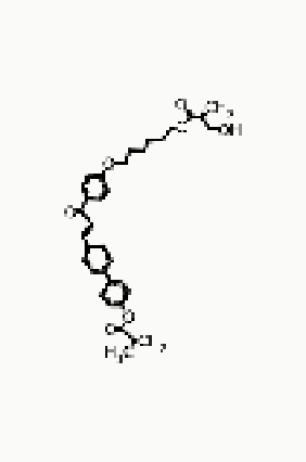 C=C(C)C(=O)Oc1ccc(-c2ccc(/C=C/C(=O)c3ccc(OCCCCCCOC(=O)C(=C)CO)cc3)cc2)cc1